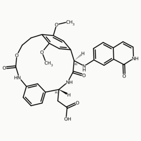 COc1cc2cc(OC)c1CCOC(=O)Nc1cccc(c1)[C@@H](CC(=O)O)NC(=O)[C@@H]2Nc1ccc2cc[nH]c(=O)c2c1